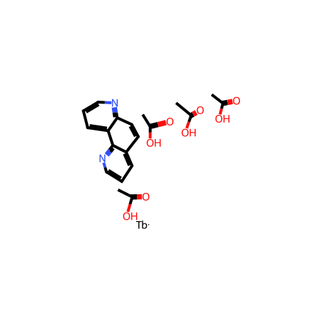 CC(=O)O.CC(=O)O.CC(=O)O.CC(=O)O.[Tb].c1cnc2c(c1)ccc1ncccc12